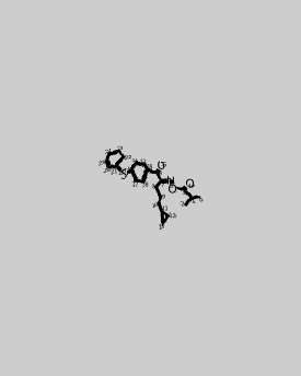 CC(C)C(=O)O/N=C(\CCCC1CC1)C(=O)c1ccc(Sc2ccccc2)cc1